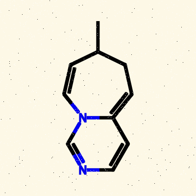 CC1C=CN2C=NC=CC2=CC1